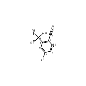 N#Cc1ncc(I)cc1C(F)(F)F